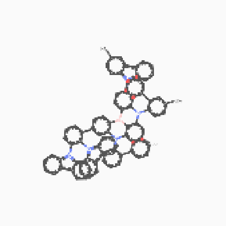 CC(C)(C)c1ccc(N2c3cc(-n4c5ccccc5c5cc(C#N)ccc54)ccc3B3c4ccc(-c5cccc(-n6c7ccccc7c7ccccc76)c5-n5c6ccccc6c6ccccc65)cc4N(c4ccccc4-c4ccccc4)c4cc(C(C)(C)C)cc2c43)c(-c2ccccc2)c1